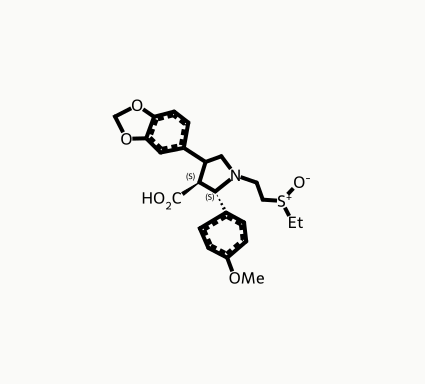 CC[S+]([O-])CCN1CC(c2ccc3c(c2)OCO3)[C@H](C(=O)O)[C@H]1c1ccc(OC)cc1